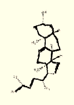 CC[C@H](/C=C/[C@@H](C)[C@H]1CC[C@H]2[C@@H]3CC[C@H]4C[C@@H](O)CC[C@]4(C)C3=CC[C@]12C)C(C)C